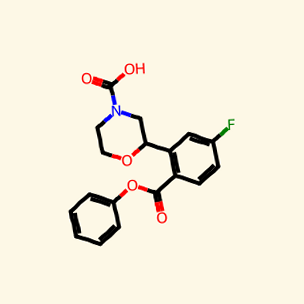 O=C(Oc1ccccc1)c1ccc(F)cc1C1CN(C(=O)O)CCO1